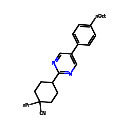 CCCCCCCCc1ccc(-c2cnc(C3CCC(C#N)(CCC)CC3)nc2)cc1